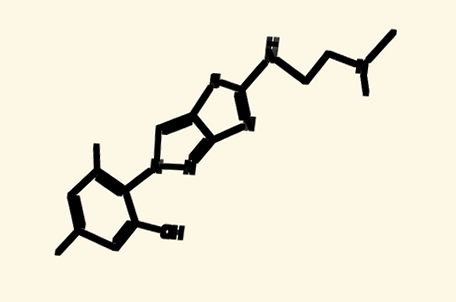 Cc1cc(C)c(-n2cc3sc(NCCN(C)C)nc3n2)c(O)c1